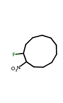 O=[N+]([O-])C1CCCCCCCCCC1F